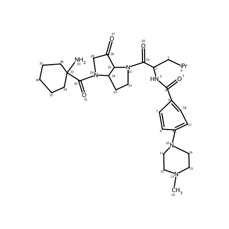 CC(C)CC(NC(=O)c1ccc(N2CCN(C)CC2)cc1)C(=O)N1CCC2C1C(=O)CN2C(=O)C1(N)CCCCC1